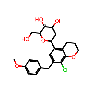 COc1ccc(Cc2cc(C3CC(O)[C@H](O)C(CO)O3)c3c(c2Cl)OCCC3)cc1